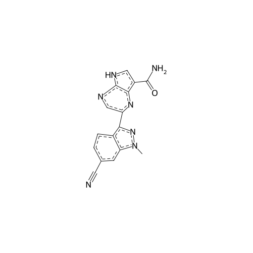 Cn1nc(-c2cnc3[nH]cc(C(N)=O)c3n2)c2ccc(C#N)cc21